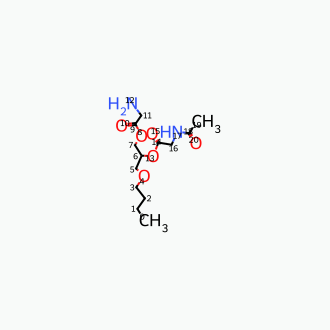 CCCCOCC(COC(=O)CN)OC(=O)CNC(C)=O